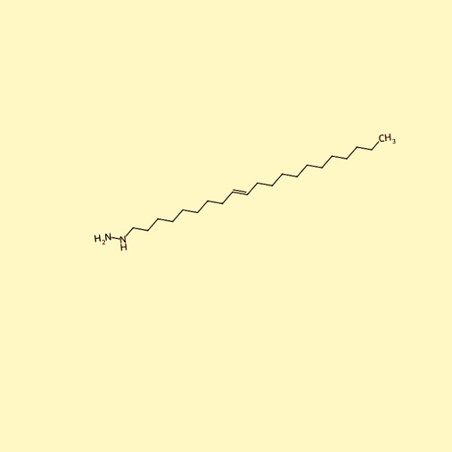 CCCCCCCCCCCC=CCCCCCCCCNN